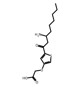 CCCCCCC(N)CC(=O)c1cc(OCC(=O)O)cs1